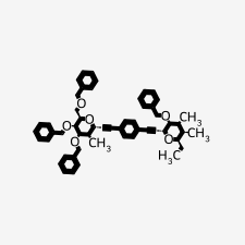 CC[C@H]1O[C@H](C#Cc2ccc(C#C[C@H]3O[C@H](COCc4ccccc4)[C@@H](OCc4ccccc4)[C@H](OCc4ccccc4)[C@@H]3C)cc2)[C@@H](OCc2ccccc2)[C@@H](C)[C@@H]1C